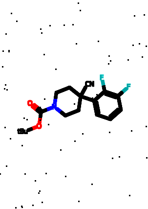 CC(C)(C)OC(=O)N1CCC(C#N)(c2cccc(F)c2F)CC1